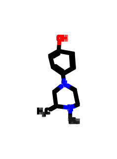 CC1CN(c2ccc(O)cc2)CCN1C(C)(C)C